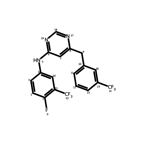 Fc1ccc(Nc2cc(Cc3cccc(C(F)(F)F)c3)ncn2)cc1C(F)(F)F